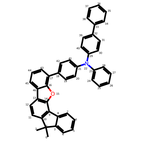 CC1(C)c2ccccc2-c2c1ccc1c2oc2c(-c3ccc(N(c4ccccc4)c4ccc(-c5ccccc5)cc4)cc3)cccc21